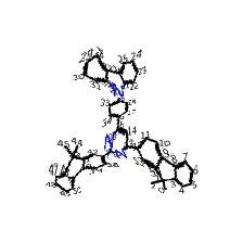 CC1(C)c2ccccc2-c2ccc(-c3cc(-c4ccc(-n5c6ccccc6c6ccccc65)cc4)nc(-c4ccc5c(c4)C(C)(C)c4ccccc4-5)n3)cc21